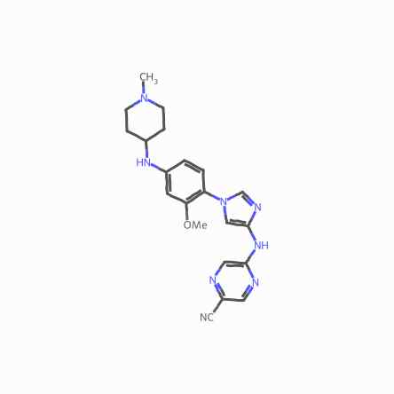 COc1cc(NC2CCN(C)CC2)ccc1-n1cnc(Nc2cnc(C#N)cn2)c1